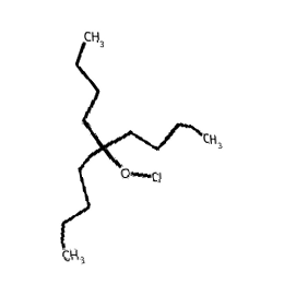 CCCCC(CCCC)(CCCC)OCl